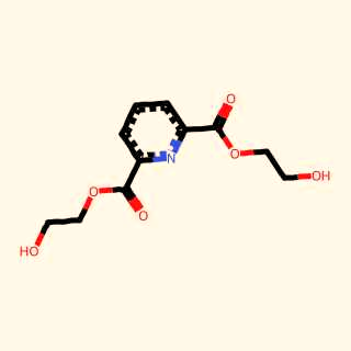 O=C(OCCO)c1cccc(C(=O)OCCO)n1